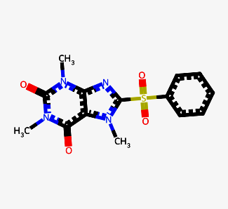 Cn1c(=O)c2c(nc(S(=O)(=O)c3ccccc3)n2C)n(C)c1=O